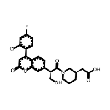 O=C(O)C[C@H]1CCCN(C(=O)[C@@H](CO)c2ccc3c(-c4ccc(F)cc4Cl)cc(=O)oc3c2)C1